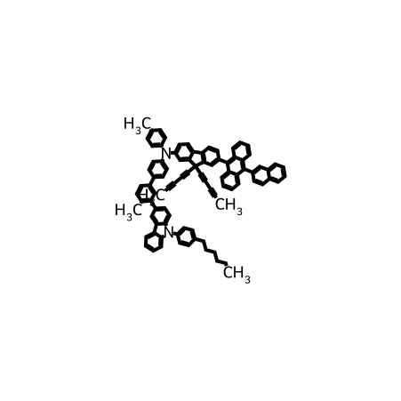 CC#CC#CC1(C#CC#CC)c2cc(-c3c4ccccc4c(-c4ccc5ccccc5c4)c4ccccc34)ccc2-c2ccc(N(c3ccc(C)cc3)c3ccc(-c4ccc(C)c(-c5ccc6c(c5)c5ccccc5n6-c5ccc(CCCCCC)cc5)c4)cc3)cc21